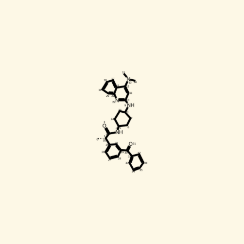 C[C@H](C(=O)NC1CCC(Nc2cc(N(C)C)c3ccccc3n2)CC1)c1cccc(C(=O)c2ccccc2)c1